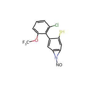 O=NN1c2cc(S)c(-c3c(Cl)cccc3OC(F)(F)F)cc21